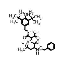 CC(C)CC(NOCc1ccccc1)C(=O)NC(C(=O)O)C(=O)NCc1cc(C(C)(C)C)c(O)c(C(C)(C)C)c1